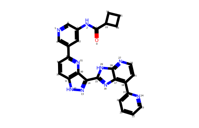 O=C(Nc1cncc(-c2ccc3[nH]nc(-c4nc5c(-c6ccccn6)ccnc5[nH]4)c3n2)c1)C1CCC1